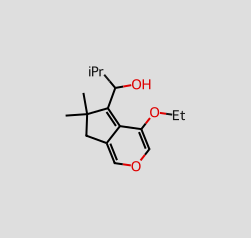 CCOC1=COC=C2CC(C)(C)C(C(O)C(C)C)=C21